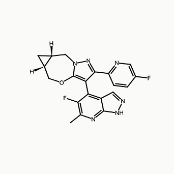 Cc1nc2[nH]ncc2c(-c2c(-c3ccc(F)cn3)nn3c2OC[C@@H]2C[C@@H]2C3)c1F